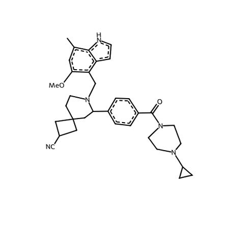 COc1cc(C)c2[nH]ccc2c1CN1CCC2(CC(C#N)C2)CC1c1ccc(C(=O)N2CCN(C3CC3)CC2)cc1